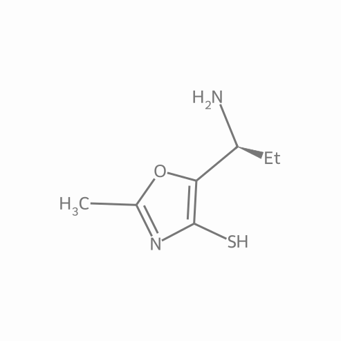 CC[C@H](N)c1oc(C)nc1S